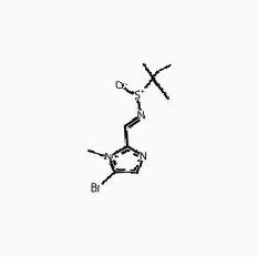 Cn1c(Br)cnc1/C=N/[S+]([O-])C(C)(C)C